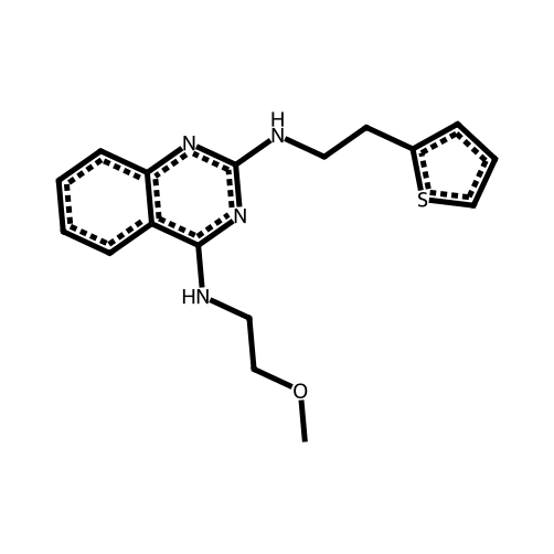 COCCNc1nc(NCCc2cccs2)nc2ccccc12